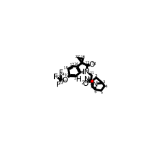 NC1CC2CCC(C1)N2C(=O)CNC(=O)C1(c2ccc(OC(F)(F)F)cc2)CC1